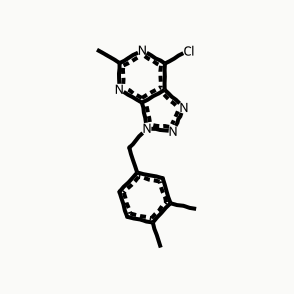 Cc1nc(Cl)c2nnn(Cc3ccc(C)c(C)c3)c2n1